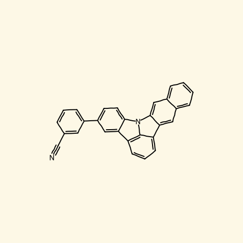 N#Cc1cccc(-c2ccc3c(c2)c2cccc4c5cc6ccccc6cc5n3c24)c1